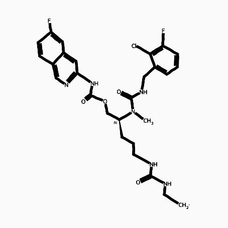 [CH2]CNC(=O)NCCC[C@@H](COC(=O)Nc1cc2cc(F)ccc2cn1)N(C)C(=O)NCc1cccc(F)c1Cl